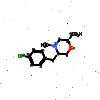 CN1C[C@H](C(=O)O)OC[C@@H]1Cc1ccc(Cl)cc1